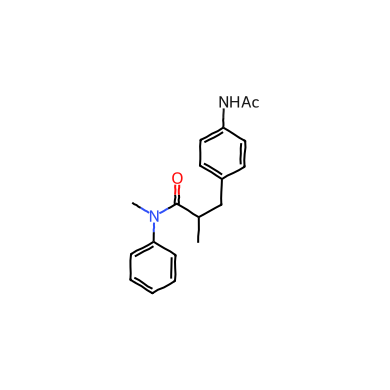 CC(=O)Nc1ccc(CC(C)C(=O)N(C)c2ccccc2)cc1